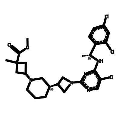 COC(=O)C1(C)CC(N2CCC[C@H](C3CN(c4ncc(Cl)c(N[C@H](C)c5ccc(Cl)cc5Cl)n4)C3)C2)C1